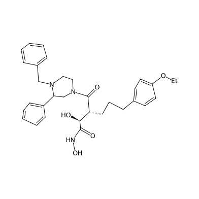 CCOc1ccc(CCC[C@@H](C(=O)N2CCN(Cc3ccccc3)C(c3ccccc3)C2)[C@H](O)C(=O)NO)cc1